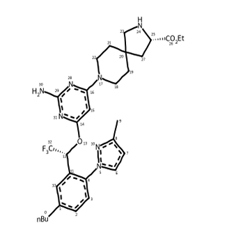 CCCCc1ccc(-n2ccc(C)n2)c([C@@H](Oc2cc(N3CCC4(CC3)CN[C@H](C(=O)OCC)C4)nc(N)n2)C(F)(F)F)c1